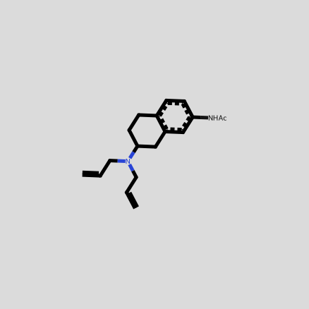 C=CCN(CC=C)C1CCc2ccc(NC(C)=O)cc2C1